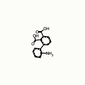 Nc1ccccc1-c1cccc(C(=O)O)c1C(=O)O